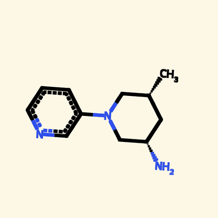 C[C@@H]1C[C@H](N)CN(c2cccnc2)C1